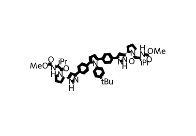 COC(=O)N[C@H](C(=O)N1CCC[C@H]1c1cc(-c2ccc(-c3ccc(-c4ccc(-c5cc([C@@H]6CCCN6C(=O)[C@@H](NC(=O)OC)C(C)C)[nH]n5)cc4)n3-c3ccc(C(C)(C)C)cc3)cc2)n[nH]1)C(C)C